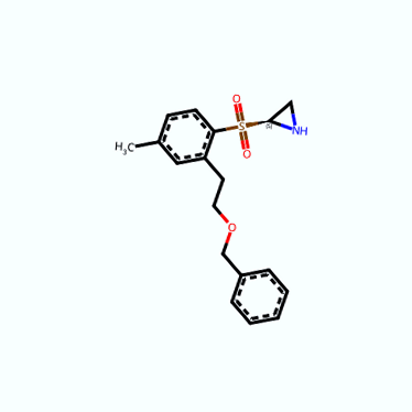 Cc1ccc(S(=O)(=O)[C@H]2CN2)c(CCOCc2ccccc2)c1